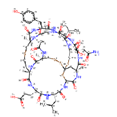 CC(=O)N[C@H]1CSSC23C[C@@H]4NC(=O)C(NC(=O)[C@H](CC(C)C)NC(=O)[C@H](CCC(=O)O)NC(=O)[C@H](CCSC[C@H](NC(=O)[C@H](C)NC(=O)[C@H](C(C)C)NC(=O)[C@H](CC(N)=O)NC4=O)C(=O)N[C@@H](Cc4ccc(O)cc4)C(=O)NCC(=O)N[C@H](C(=O)O)CS2)NC1=O)S3